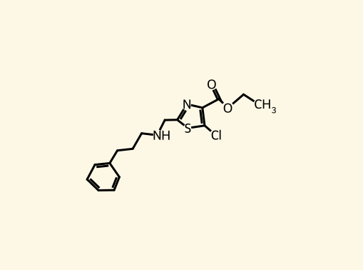 CCOC(=O)c1nc(CNCCCc2ccccc2)sc1Cl